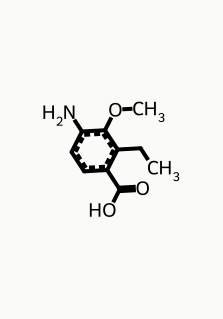 CCc1c(C(=O)O)ccc(N)c1OC